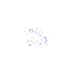 Cc1ccc(-c2cc(Nc3ccc(C4C(=O)N(C)CCN4C)cc3)c(=O)n(C)n2)c(F)c1NC(=O)c1cc2c(s1)CCCC2